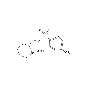 Cc1ccc(S(=O)(=O)OCC2CCCCN2C(=O)O)cc1